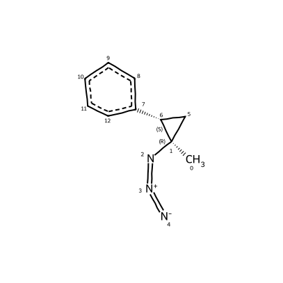 C[C@@]1(N=[N+]=[N-])C[C@H]1c1ccccc1